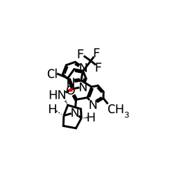 Cc1ccc(-c2ncccn2)c(C(=O)N2[C@@H]3CC[C@H]2[C@H](Nc2ncc(C(F)(F)F)cc2Cl)C3)n1